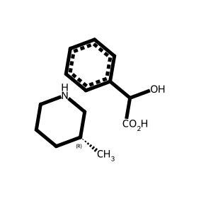 C[C@@H]1CCCNC1.O=C(O)C(O)c1ccccc1